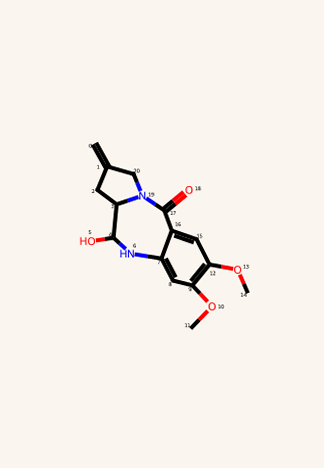 C=C1CC2C(O)Nc3cc(OC)c(OC)cc3C(=O)N2C1